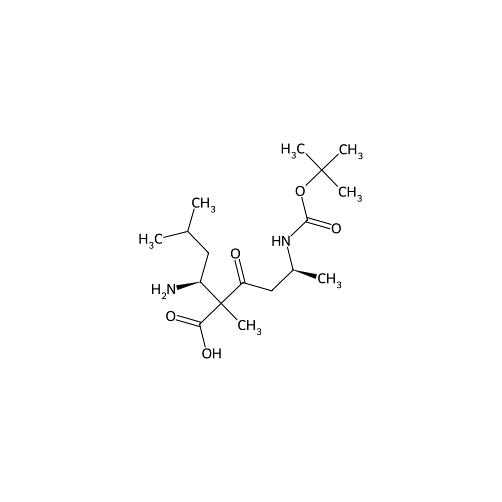 CC(C)C[C@H](N)C(C)(C(=O)O)C(=O)C[C@H](C)NC(=O)OC(C)(C)C